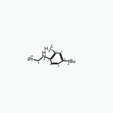 Cc1cc(C(C)(C)C)ccc1NCC(C)C